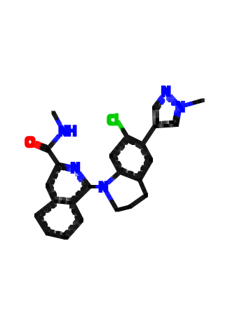 CNC(=O)c1cc2ccccc2c(N2CCCc3cc(-c4cnn(C)c4)c(Cl)cc32)n1